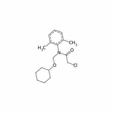 Cc1cccc(C)c1N(COC1CCCCC1)C(=O)CCl